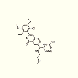 C=CC(=O)N/C(C=N)=C(/NCCOC)c1cc2c(=O)oc(-c3c(Cl)c(OC)cc(OC)c3CC)cc2cn1